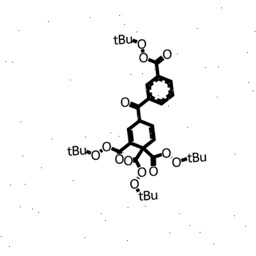 CC(C)(C)OOC(=O)C1=CC(C(=O)c2cccc(C(=O)OOC(C)(C)C)c2)C=CC1(C(=O)OOC(C)(C)C)C(=O)OOC(C)(C)C